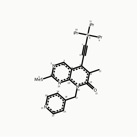 CSc1ncc2c(C#C[Si](C(C)C)(C(C)C)C(C)C)c(C)c(=O)n(Cc3ccncc3)c2n1